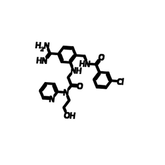 N=C(N)c1ccc(CNC(=O)c2cccc(Cl)c2)c(NCC(=O)N(CCO)c2ccccn2)c1